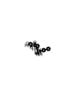 O=C1CCC(N2Cc3c(Nc4nc(-c5ccc(-c6ccccc6)cc5)nc5[nH]cnc45)cccc3C2=O)C(=O)N1